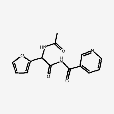 CC(=O)NC(C(=O)NC(=O)c1cccnc1)c1ccco1